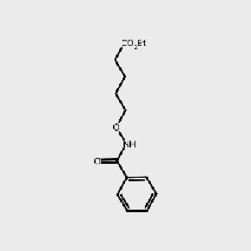 CCOC(=O)CCCCONC(=O)c1ccccc1